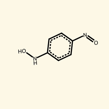 O=Nc1ccc(NO)cc1